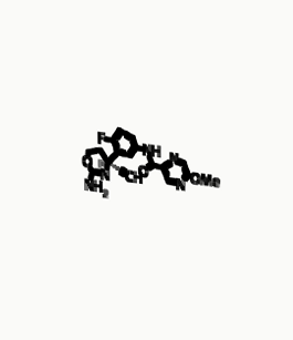 C#C[C@@]1(c2cc(NC(=O)c3cnc(OC)cn3)ccc2F)CCOC(N)=N1